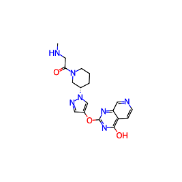 CNCC(=O)N1CCC[C@H](n2cc(Oc3nc(O)c4ccncc4n3)cn2)C1